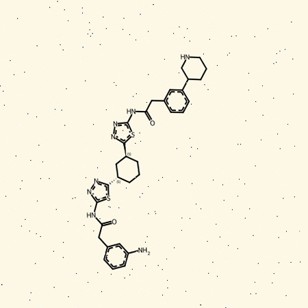 Nc1cccc(CC(=O)Nc2nnc([C@H]3CCC[C@H](c4nnc(NC(=O)Cc5cccc(C6CCCNC6)c5)s4)C3)s2)c1